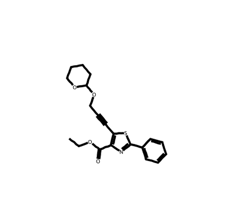 CCOC(=O)c1nc(-c2ccccc2)sc1C#CCOC1CCCCO1